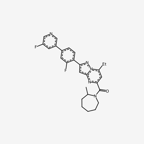 CCc1cc(C(=O)N2CCCCCC2C)nc2cc(-c3ccc(-c4cncc(F)c4)cc3F)nn12